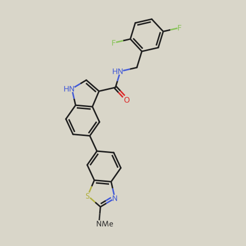 CNc1nc2ccc(-c3ccc4[nH]cc(C(=O)NCc5cc(F)ccc5F)c4c3)cc2s1